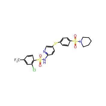 O=S(=O)(Nc1ccc(Sc2ccc(S(=O)(=O)N3CCCCC3)cc2)cn1)c1ccc(C(F)(F)F)cc1Cl